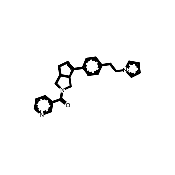 O=C(c1cccnc1)N1CC2CC=C(c3ccc(CCn4cccc4)cc3)C2C1